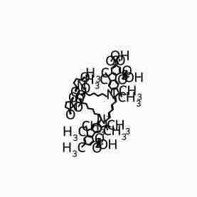 Cc1cc2c(c(S(=O)(=O)O)c1)-c1cc3c(cc1C2(C)C)[N+](CCCCCC(=O)ON1C(=O)CCC1=O)=C(/C=C/C=C/C=C1\N(CCCCCC(=O)ON2C(=O)CCC2=O)c2cc4c(cc2C1(C)C)-c1c(cc(S(=O)(=O)O)cc1S(=O)(=O)O)C4(C)C)C3(C)C